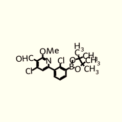 COc1nc(-c2cccc(B3OC(C)(C)C(C)(C)O3)c2Cl)cc(Cl)c1C=O